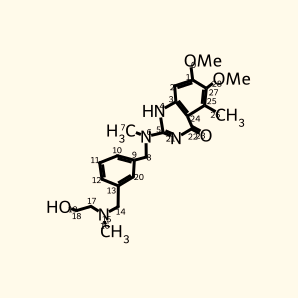 COc1cc2[nH]c(N(C)Cc3cccc(CN(C)CCO)c3)nc(=O)c2c(C)c1OC